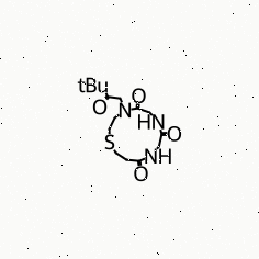 CC(C)(C)C(=O)CN1CCSCCC(=O)NCC(=O)NCC1=O